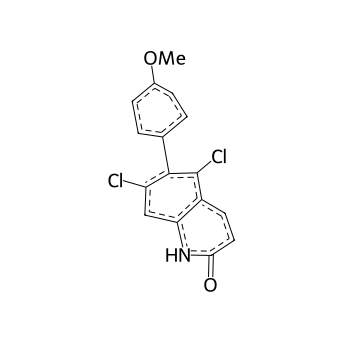 COc1ccc(-c2c(Cl)cc3[nH]c(=O)ccc3c2Cl)cc1